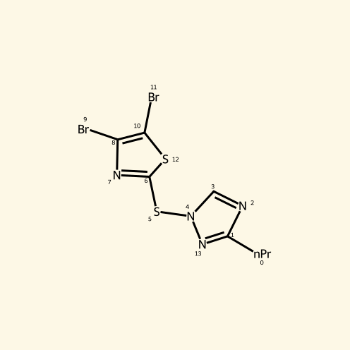 CCCc1ncn(Sc2nc(Br)c(Br)s2)n1